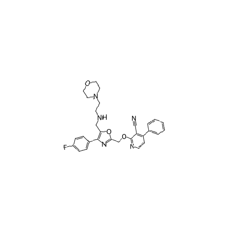 N#Cc1c(-c2ccccc2)ccnc1OCc1nc(-c2ccc(F)cc2)c(CNCCN2CCOCC2)o1